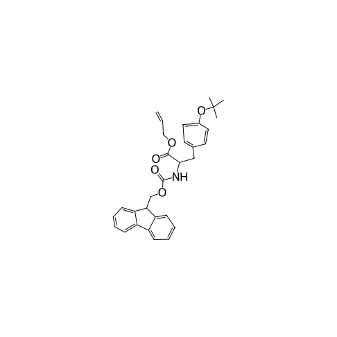 C=CCOC(=O)C(Cc1ccc(OC(C)(C)C)cc1)NC(=O)OCC1c2ccccc2-c2ccccc21